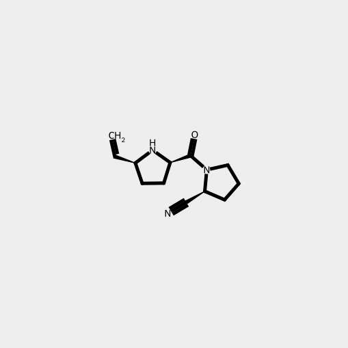 C=C[C@@H]1CC[C@H](C(=O)N2CCC[C@H]2C#N)N1